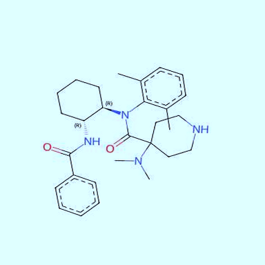 Cc1cccc(C)c1N(C(=O)C1(N(C)C)CCNCC1)[C@@H]1CCCC[C@H]1NC(=O)c1ccccc1